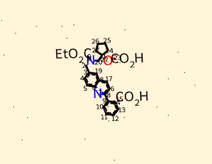 CCOC(=O)N(Cc1ccc2nc(-c3ccccc3C(=O)O)ccc2c1)CC1(OC(=O)O)CCCC1